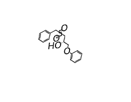 O=S(=O)(Cc1ccccc1)C[C@@H](O)COc1ccccc1